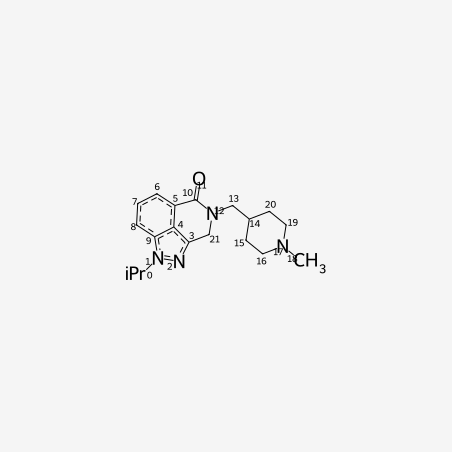 CC(C)n1nc2c3c(cccc31)C(=O)N(CC1CCN(C)CC1)C2